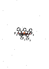 COc1ccc2ccccc2c1-c1cccc(-c2c(OC)ccc3ccccc23)c1P(c1cc(C(F)(F)F)cc(C(F)(F)F)c1)c1cc(C(F)(F)F)cc(C(F)(F)F)c1